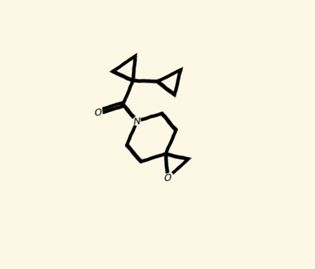 O=C(N1CCC2(CC1)CO2)C1(C2CC2)CC1